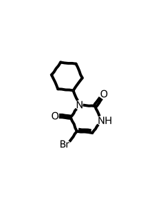 O=c1[nH]cc(Br)c(=O)n1C1CCCCC1